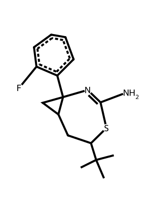 CC(C)(C)C1CC2CC2(c2ccccc2F)N=C(N)S1